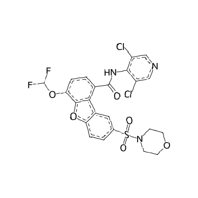 O=C(Nc1c(Cl)cncc1Cl)c1ccc(OC(F)F)c2oc3ccc(S(=O)(=O)N4CCOCC4)cc3c12